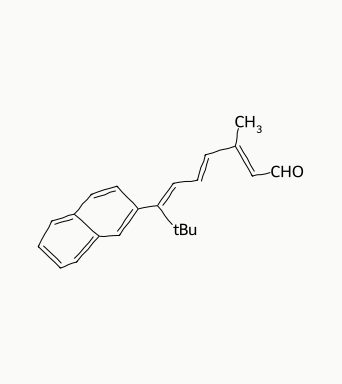 CC(C=CC=C(c1ccc2ccccc2c1)C(C)(C)C)=CC=O